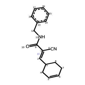 N#C/C(=C\C1CC=CCC1)C(=O)NCc1ccccc1